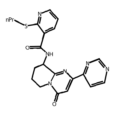 CCCSc1ncccc1C(=O)NC1CCCn2c1nc(-c1ccncn1)cc2=O